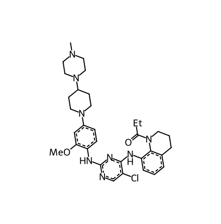 CCC(=O)N1CCCc2cccc(Nc3nc(Nc4ccc(N5CCC(N6CCN(C)CC6)CC5)cc4OC)ncc3Cl)c21